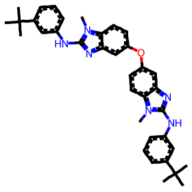 Cn1c(Nc2cccc(C(C)(C)C)c2)nc2cc(Oc3ccc4c(c3)nc(Nc3cccc(C(C)(C)C)c3)n4C)ccc21